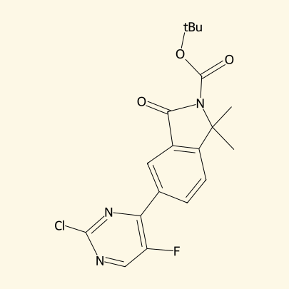 CC(C)(C)OC(=O)N1C(=O)c2cc(-c3nc(Cl)ncc3F)ccc2C1(C)C